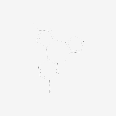 Cc1nc(-c2ccc(F)cc2)c(-c2sccc2C)s1